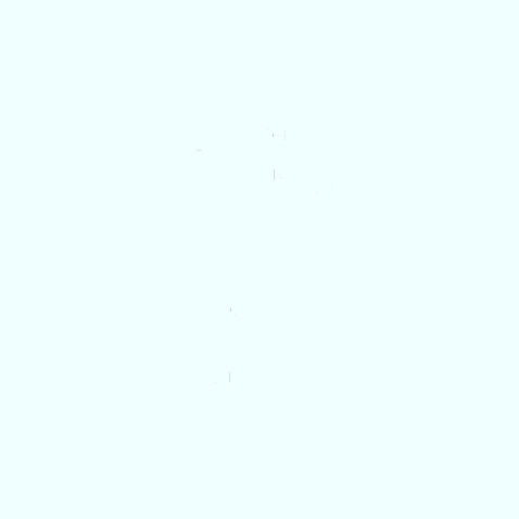 CCOc1ccc(F)c(B(C)O)c1